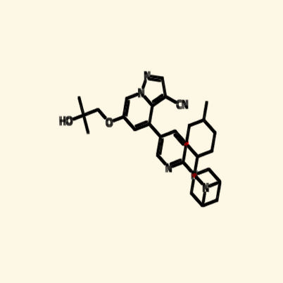 CC1CCC(CN2C3CC2CN(c2ccc(-c4cc(OCC(C)(C)O)cn5ncc(C#N)c45)cn2)C3)CC1